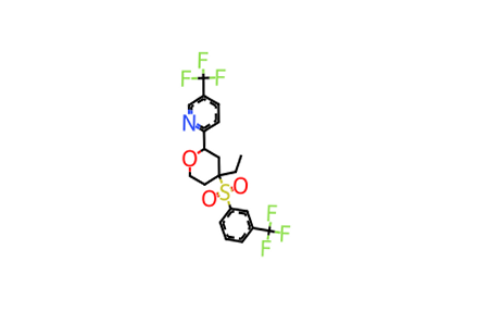 CCC1(S(=O)(=O)c2cccc(C(F)(F)F)c2)CCOC(c2ccc(C(F)(F)F)cn2)C1